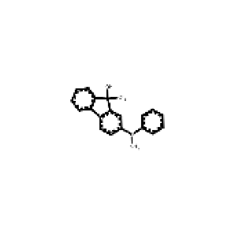 CN(c1ccccc1)c1ccc2c(c1)C(O)(C(F)(F)F)c1ccccc1-2